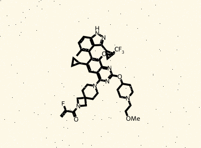 C=C(F)C(=O)N1CC2(CCN(c3nc(OC4CCN(CCOC)CC4)nc4c(OCC(F)(F)F)c(-c5c(C)ccc6[nH]nc(C7CC7)c56)c(C5CC5)cc34)CC2)C1